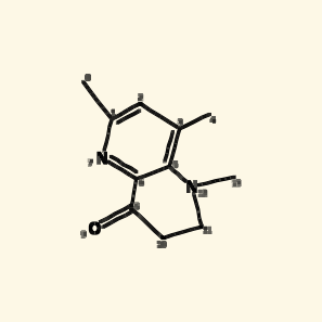 Cc1cc(C)c2c(n1)C(=O)CCN2C